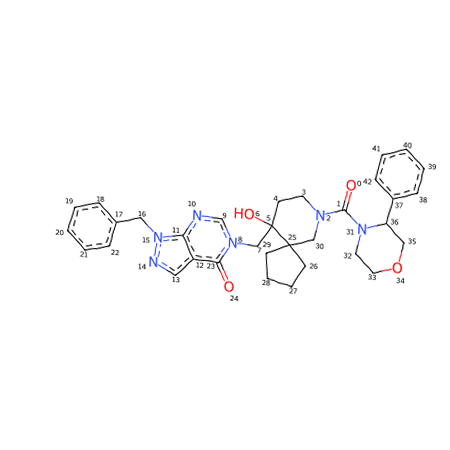 O=C(N1CCC(O)(Cn2cnc3c(cnn3Cc3ccccc3)c2=O)C2(CCCC2)C1)N1CCOCC1c1ccccc1